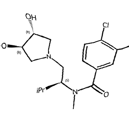 Cc1cc(C(=O)N(C)[C@H](CN2C[C@@H](O)[C@H](O)C2)C(C)C)ccc1Cl